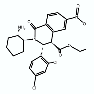 CCOC(=O)[C@@H]1c2cc([N+](=O)[O-])ccc2C(=O)N([C@H]2CCCC[C@@H]2N)[C@H]1c1ccc(Cl)cc1Cl